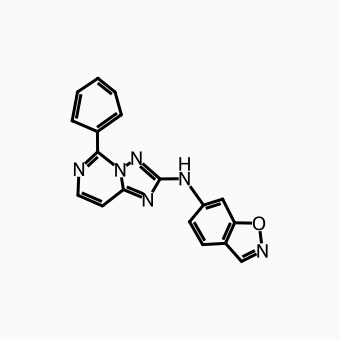 c1ccc(-c2nccc3nc(Nc4ccc5cnoc5c4)nn23)cc1